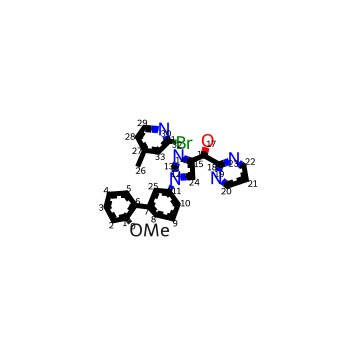 COc1ccccc1-c1cccc(-n2cnc(C(=O)c3ncccn3)c2)c1.Cc1ccnc(Br)c1